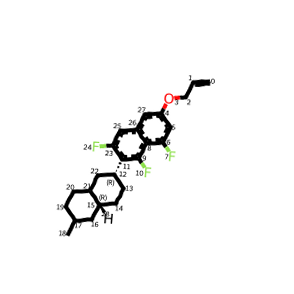 C=CCOc1cc(F)c2c(F)c([C@@H]3CC[C@@H]4CC(C)CCC4C3)c(F)cc2c1